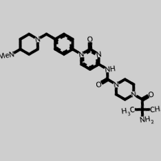 CNC1CCN(Cc2ccc(-n3ccc(NC(=O)N4CCN(C(=O)C(C)(C)N)CC4)nc3=O)cc2)CC1